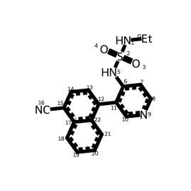 CCNS(=O)(=O)Nc1ccncc1-c1ccc(C#N)c2ccccc12